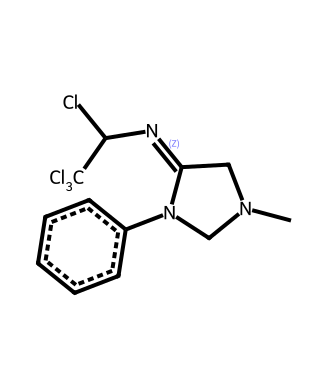 CN1C/C(=N/C(Cl)C(Cl)(Cl)Cl)N(c2ccccc2)C1